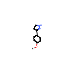 CCOc1ccc(-c2cc[nH]n2)cc1